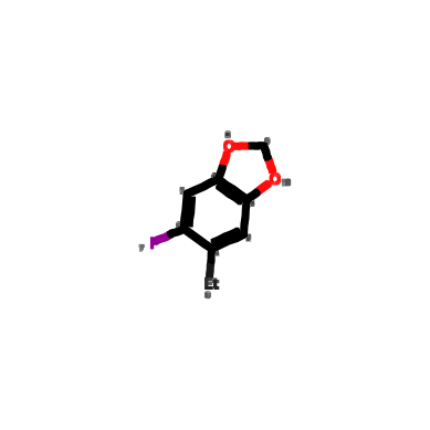 CCc1cc2c(cc1I)OCO2